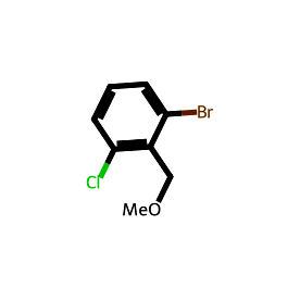 COCc1c(Cl)cccc1Br